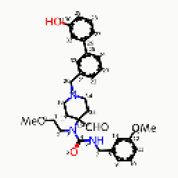 COCCN(C(=O)NCc1cccc(OC)c1)C1(C=O)CCN(Cc2cccc(-c3cccc(O)c3)c2)CC1